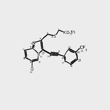 CCOC(=O)CSCc1nc2ccc(Cl)cn2c1C#Cc1cccc(C(F)(F)F)c1